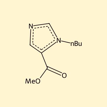 CCCCn1cncc1C(=O)OC